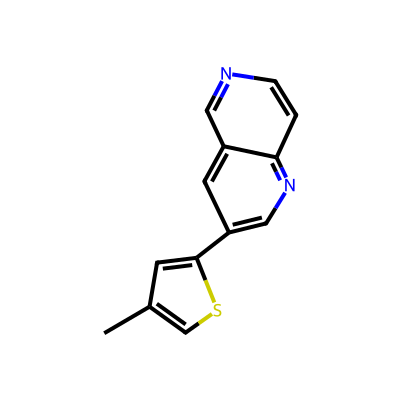 Cc1csc(-c2cnc3ccncc3c2)c1